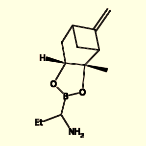 C=C1C2CC1[C@]1(C)OB(C(N)CC)O[C@@H]1C2